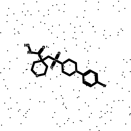 O=C(NO)C1(CS(=O)(=O)N2CCN(c3ccc(Br)cc3)CC2)CCOCC1